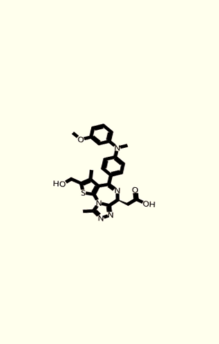 COc1cccc(N(C)c2ccc(C3=N[C@@H](CC(=O)O)c4nnc(C)n4-c4sc(CO)c(C)c43)cc2)c1